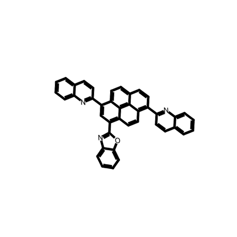 c1ccc2nc(-c3ccc4ccc5c(-c6ccc7ccccc7n6)cc(-c6nc7ccccc7o6)c6ccc3c4c56)ccc2c1